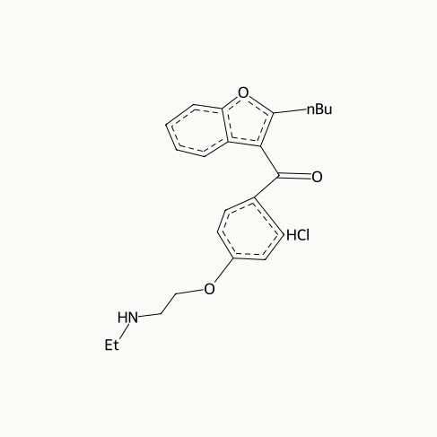 CCCCc1oc2ccccc2c1C(=O)c1ccc(OCCNCC)cc1.Cl